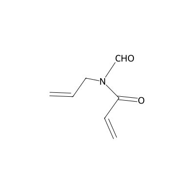 C=CCN(C=O)C(=O)C=C